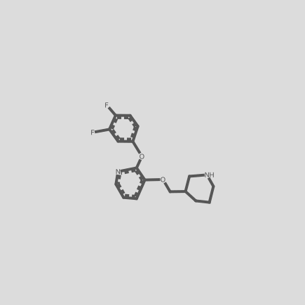 Fc1ccc(Oc2ncccc2OCC2CCCNC2)cc1F